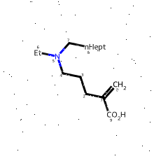 C=C(CCCN(CC)CCCCCCCC)C(=O)O